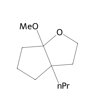 CCCC12CCCC1(OC)OCC2